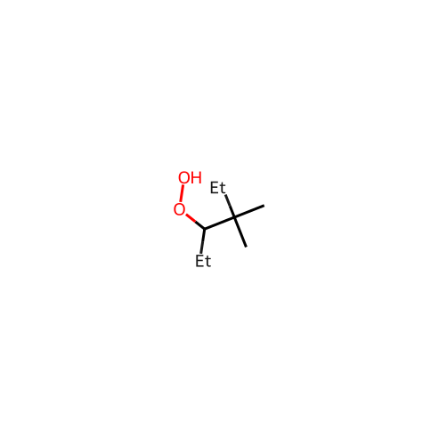 [CH2]CC(OO)C(C)(C)CC